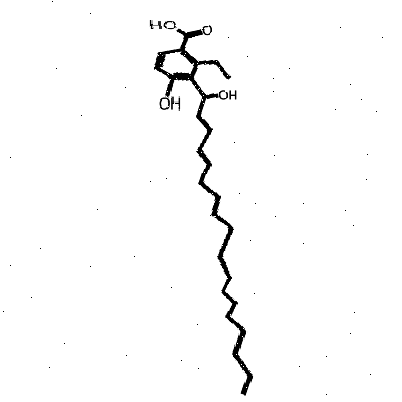 CCCCCCCCCCCCCCCCCC(O)c1c(O)ccc(C(=O)O)c1CC